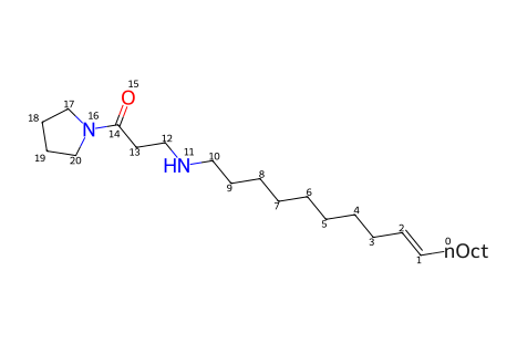 CCCCCCCCC=CCCCCCCCCNCCC(=O)N1CCCC1